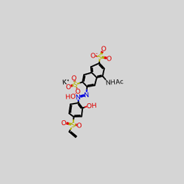 C=CS(=O)(=O)c1ccc(N=Nc2cc3c(NC(C)=O)cc(S(=O)(=O)[O-])cc3cc2S(=O)(=O)OO)c(O)c1.[K+]